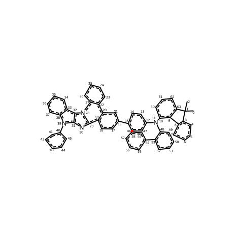 CC1(C)c2ccccc2-c2c(N(c3ccc(-c4ccc5c(c4)c4ccccc4n4c5nc5c4c4ccccc4n5-c4ccccc4)cc3)c3ccccc3-c3ccccc3)cccc21